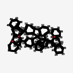 c1ccc(N(c2ccccc2)c2ccc3c(c2)C2(c4cc(N(c5ccccc5)c5ccccc5)ccc4-3)c3cc(N(c4ccccc4)c4ccccc4)ccc3-c3cccc(N(c4ccccc4)c4ccccc4)c32)cc1